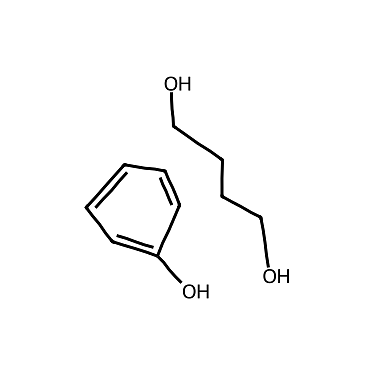 OCCCCO.Oc1ccccc1